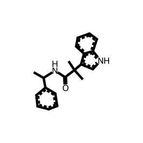 CC(NC(=O)C(C)(C)c1c[nH]c2ccccc12)c1ccccc1